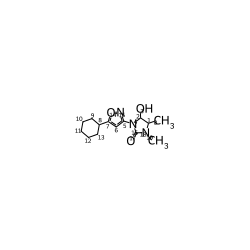 CC1C(O)N(c2cc(C3CCCCC3)on2)C(=O)N1C